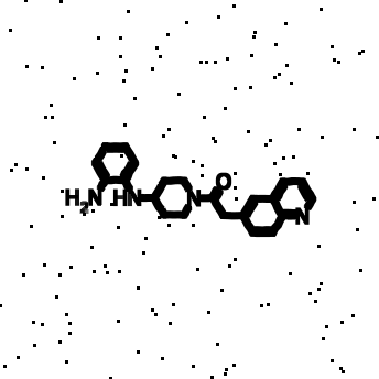 Nc1ccccc1NC1CCN(C(=O)Cc2ccc3ncccc3c2)CC1